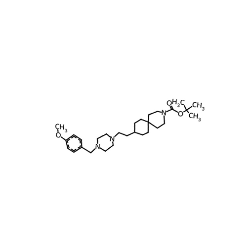 COc1ccc(CN2CCN(CCC3CCC4(CC3)CCN(C(=O)OC(C)(C)C)CC4)CC2)cc1